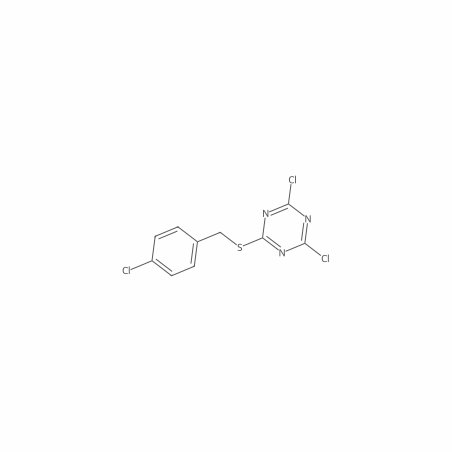 Clc1ccc(CSc2nc(Cl)nc(Cl)n2)cc1